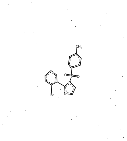 Cc1ccc(S(=O)(=O)n2ccnc2-c2ccccc2Br)cc1